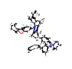 c1ccc(-c2cccc3c2c2cc(-c4ccc5c(c4)c4ccc6ccccc6c4n5-c4ccc5c(c4)oc4ccccc45)ccc2n3-c2ccccc2)cc1